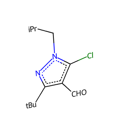 CC(C)Cn1nc(C(C)(C)C)c(C=O)c1Cl